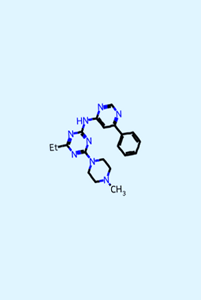 CCc1nc(Nc2cc(-c3ccccc3)ncn2)nc(N2CCN(C)CC2)n1